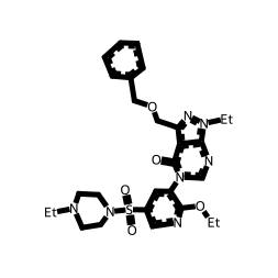 CCOc1ncc(S(=O)(=O)N2CCN(CC)CC2)cc1-n1cnc2c(c(COCc3ccccc3)nn2CC)c1=O